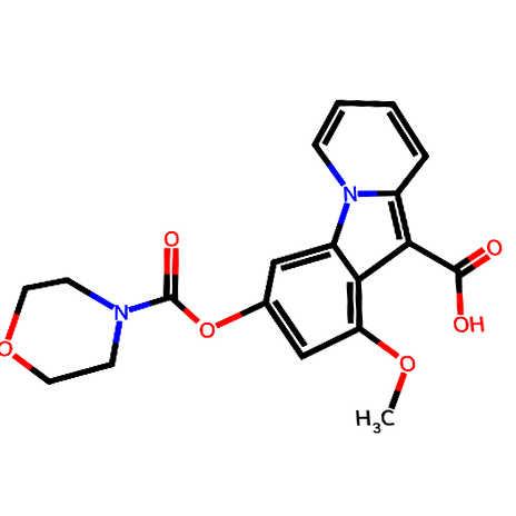 COc1cc(OC(=O)N2CCOCC2)cc2c1c(C(=O)O)c1ccccn12